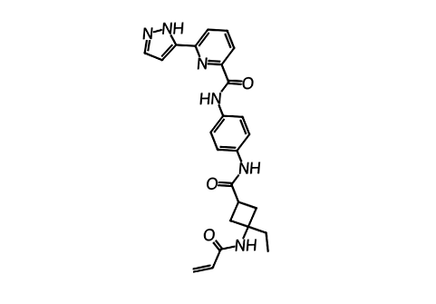 C=CC(=O)NC1(CC)CC(C(=O)Nc2ccc(NC(=O)c3cccc(-c4ccn[nH]4)n3)cc2)C1